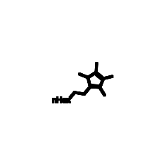 CCCCCCCCC1=C(C)C(C)=C(C)C1C